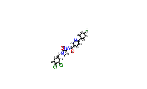 O=C(NC1CCN(Cc2ccc(Cl)c(Cl)c2)C1=O)c1ccc(-c2ccc(F)cc2)nc1